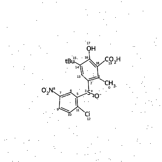 Cc1c([S+]([O-])c2cc([N+](=O)[O-])ccc2Cl)cc(C(C)(C)C)c(O)c1C(=O)O